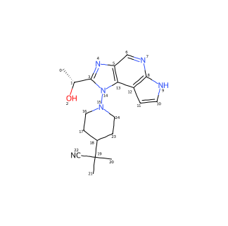 C[C@@H](O)c1nc2cnc3[nH]ccc3c2n1N1CCC(C(C)(C)C#N)CC1